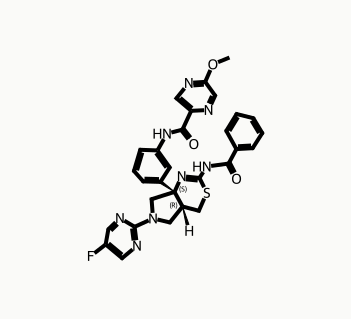 COc1cnc(C(=O)Nc2cccc([C@]34CN(c5ncc(F)cn5)C[C@H]3CSC(NC(=O)c3ccccc3)=N4)c2)cn1